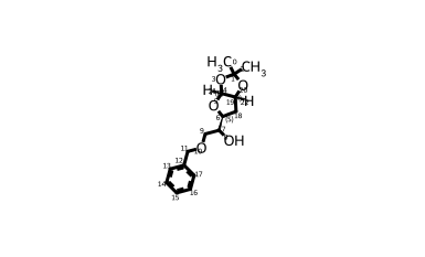 CC1(C)O[C@H]2O[C@H](C(O)COCc3ccccc3)C[C@H]2O1